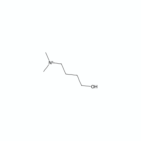 C[N+](C)CCCCO